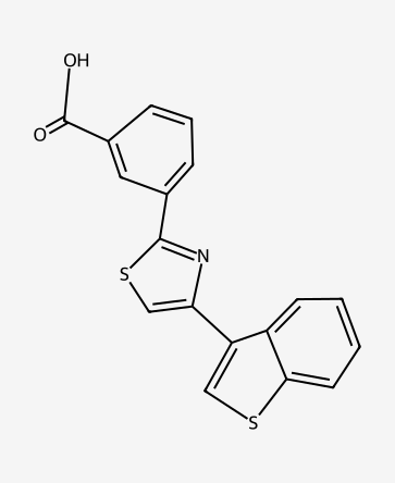 O=C(O)c1cccc(-c2nc(-c3csc4ccccc34)cs2)c1